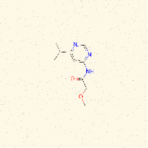 COCC(=O)Nc1cc(C(C)C)ncn1